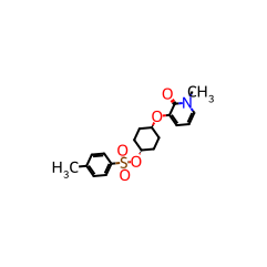 Cc1ccc(S(=O)(=O)O[C@H]2CC[C@H](Oc3cccn(C)c3=O)CC2)cc1